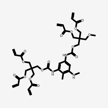 C=CC(=O)OCC(COC)(COC(=O)C=C)COC(=O)Nc1cc(NC)c(C)c(NC(=O)OCC(COC(=O)C=C)(COC(=O)C=C)COC(=O)C=C)c1